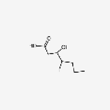 CCCC(I)C(O)CC(=O)O